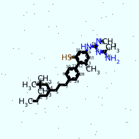 CCCCC(CCCc1ccc(-c2c(C)cc(NC(=N/C)/N=C(\C)N)cc2S)cc1)CC(C)(C)C